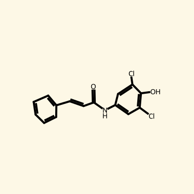 O=C(C=Cc1ccccc1)Nc1cc(Cl)c(O)c(Cl)c1